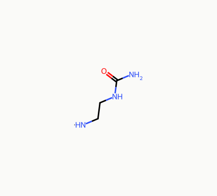 [NH]CCNC(N)=O